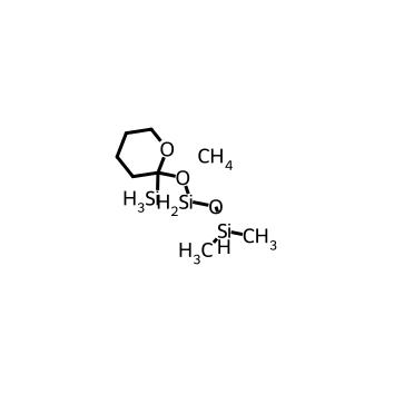 C.C[SiH](C)O[SiH2]OC1([SiH3])CCCCO1